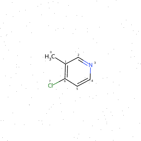 Cc1cn[c]cc1Cl